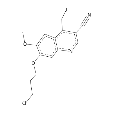 COc1cc2c(CI)c(C#N)cnc2cc1OCCCCl